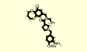 COc1ccc(CN2CCC(C(=O)N(Cc3cc(Cl)c4c(c3)OCCCO4)CC(C)C)C2)cc1N